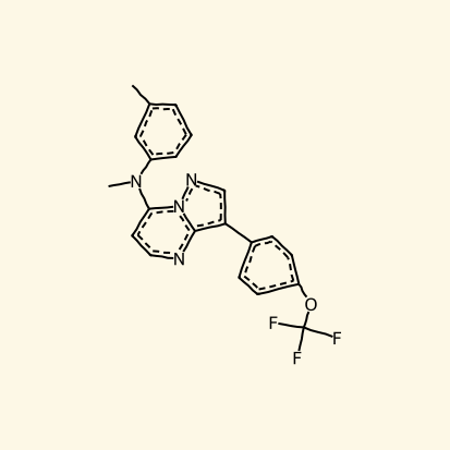 Cc1cccc(N(C)c2ccnc3c(-c4ccc(OC(F)(F)F)cc4)cnn23)c1